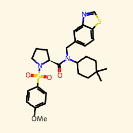 COc1ccc(S(=O)(=O)N2CCC[C@H]2C(=O)N(Cc2ccc3scnc3c2)C2CCC(C)(C)CC2)cc1